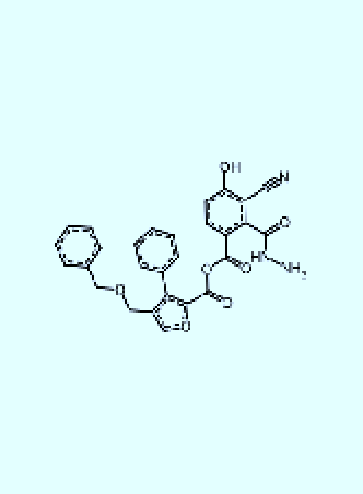 N#Cc1c(O)ccc(C(=O)OC(=O)c2occ(COCc3ccccc3)c2-c2ccccc2)c1C(=O)NN